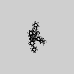 O=C(O)[C@H](Cc1ccccc1)Oc1cccc(N(Cc2ccc(-c3ccccc3)cc2)S(=O)(=O)c2ccc(OC(F)(F)F)cc2)c1